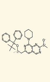 C[C@@H](Cc1cc2cnc([S+](C)[O-])nc2c(N2CCCCC2)n1)O[Si](c1ccccc1)(c1ccccc1)C(C)(C)C